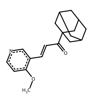 COc1ccncc1C=CC(=O)C12CC3CC(CC(C3)C1)C2